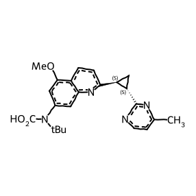 COc1cc(N(C(=O)O)C(C)(C)C)cc2nc([C@H]3C[C@@H]3c3nccc(C)n3)ccc12